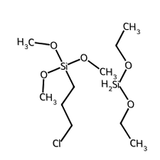 CCO[SiH2]OCC.CO[Si](CCCCl)(OC)OC